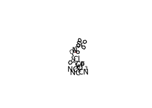 N#CC(C#N)=C1OC(c2ccccc2)(C(F)(F)F)C(/C=C/C2=C(Cl)C(=C\C=C3/CCCc4c3c3ccccc3n4Cc3ccc([Si](c4ccccc4)(c4ccccc4)c4ccccc4)cc3)/c3ccccc32)=C1C#N